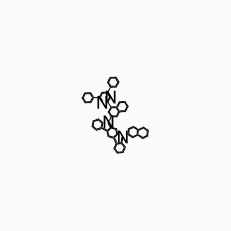 c1ccc(-c2cc(-c3ccccc3)nc(-c3cc(-n4c5ccccc5c5cc6c7ccccc7n(-c7ccc8ccccc8c7)c6cc54)cc4ccccc34)n2)cc1